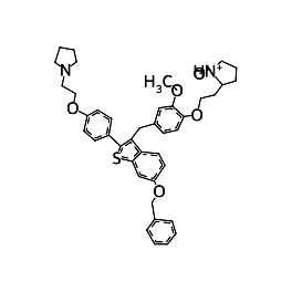 COc1cc(Cc2c(-c3ccc(OCCN4CCCC4)cc3)sc3cc(OCc4ccccc4)ccc23)ccc1OCCC1CCC[NH+]1[O-]